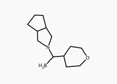 BC(C1CCOCC1)N1CC2CCCC2C1